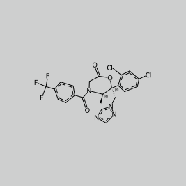 C[C@H]1N(C(=O)c2ccc(C(F)(F)F)cc2)CC(=O)O[C@@]1(Cn1cncn1)c1ccc(Cl)cc1Cl